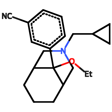 CCOC1(c2cccc(C#N)c2)C2CCCC1CN(CC1CC1)C2